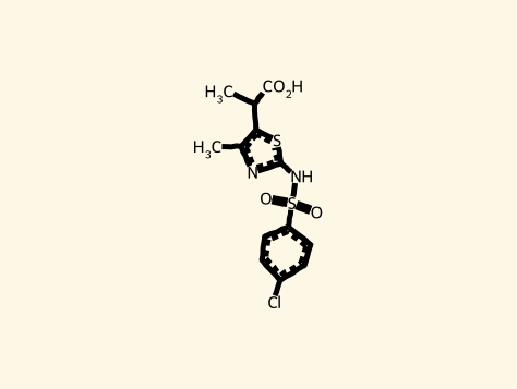 Cc1nc(NS(=O)(=O)c2ccc(Cl)cc2)sc1C(C)C(=O)O